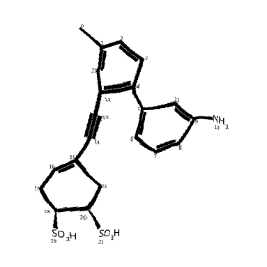 Cc1ccc(-c2cccc(N)c2)c(C#CC2=CC[C@H](S(=O)(=O)O)[C@H](S(=O)(=O)O)C2)c1